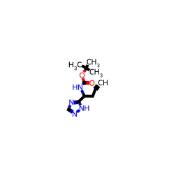 C#CCC(NC(=O)OC(C)(C)C)c1ncn[nH]1